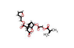 C=C(C)C(=O)OCC(=O)OC1C2CC3C1OC(=O)C3C2C(=O)OCC1CCCO1